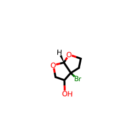 OC1CO[C@@H]2OCCC12Br